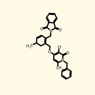 Cc1cc(OCC2=C(CN3C(=O)c4ccccc4C3=O)C=CC(C)C2)c(Cl)c(=O)n1Cc1ccccc1